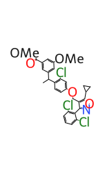 COC(=O)c1cc(OC)cc(C(C)c2ccc(OCc3c(-c4c(Cl)cccc4Cl)noc3C3CC3)cc2Cl)c1